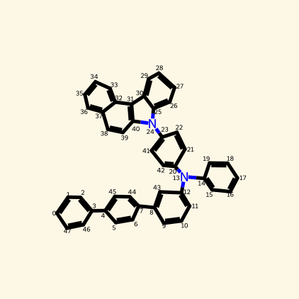 c1ccc(-c2ccc(-c3cccc(N(c4ccccc4)c4ccc(-n5c6ccccc6c6c7ccccc7ccc65)cc4)c3)cc2)cc1